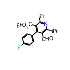 CCOC(=O)c1c(C(C)C)nc(C(C)C)c(C=O)c1-c1ccc(F)cc1